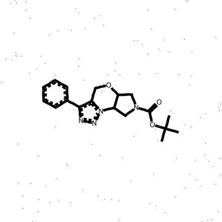 CC(C)(C)OC(=O)N1CC2OCc3c(-c4ccccc4)nnn3C2C1